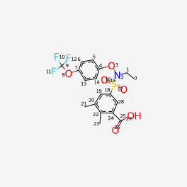 CCN(Oc1ccc(OC(F)(F)F)cc1)S(=O)(=O)c1cc(C)c(C)c(C(=O)O)c1